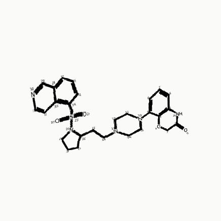 O=C1COc2c(cccc2N2CCN(CCC3CCCN3S(=O)(=O)c3cccc4cnccc34)CC2)N1